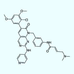 COc1cc(OC)c(Cl)c(-c2cc3cnc(Nc4ccncc4)nc3n(Cc3cccc(NC(=O)/C=C/CN(C)C)c3)c2=O)c1